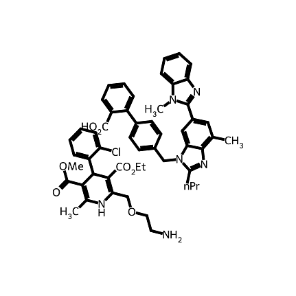 CCCc1nc2c(C)cc(-c3nc4ccccc4n3C)cc2n1Cc1ccc(-c2ccccc2C(=O)O)cc1.CCOC(=O)C1=C(COCCN)NC(C)=C(C(=O)OC)C1c1ccccc1Cl